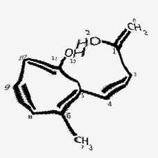 C=C(O)/C=C\c1c(C)cccc1O